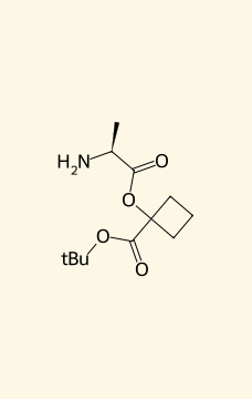 C[C@H](N)C(=O)OC1(C(=O)OC(C)(C)C)CCC1